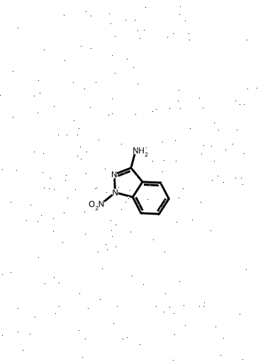 Nc1nn([N+](=O)[O-])c2ccccc12